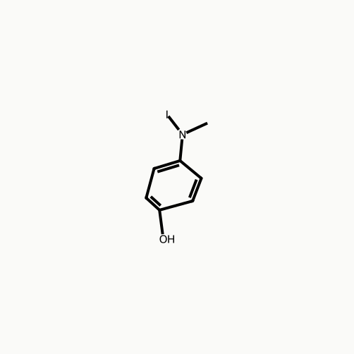 CN(I)c1ccc(O)cc1